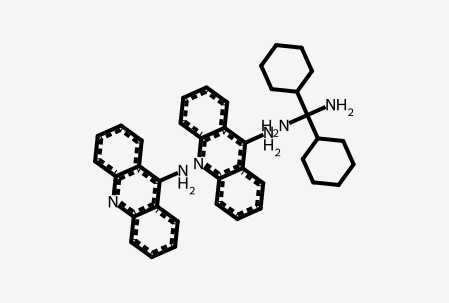 NC(N)(C1CCCCC1)C1CCCCC1.Nc1c2ccccc2nc2ccccc12.Nc1c2ccccc2nc2ccccc12